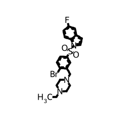 CCN1CCN(Cc2cc(S(=O)(=O)n3ccc4cc(F)ccc43)ccc2Br)CC1